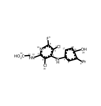 CC(C)c1cc(Nc2c(Cl)c(F)nc(NCC(=O)O)c2Cl)ccc1O